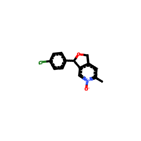 Cc1[c]c2c(c[n+]1[O-])C(c1ccc(Cl)cc1)OC2